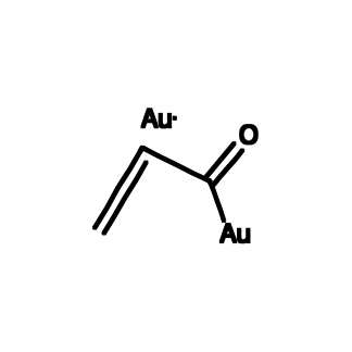 C=C[C](=O)[Au].[Au]